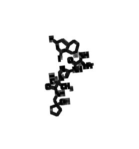 CCC[C@H](N[C@H]1CCc2cc(F)cc(F)c2C1)C(=O)Nc1cn(C(C)(C)C(=O)NCC2(O)CCCC2)cn1